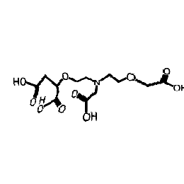 O=C(O)COCCN(CCOC(CC(=O)O)C(=O)O)CC(=O)O